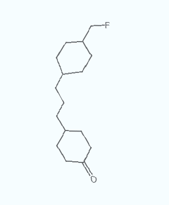 O=C1CCC(CCCC2CCC(CF)CC2)CC1